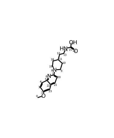 COc1ccc2nc(N3CCC(CCNC(=O)O)CC3)ccc2c1